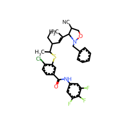 C/C(=C\C(CC(C)C)C(C)Sc1cc(C(=O)Nc2cc(F)c(F)c(F)c2)ccc1Cl)C1C(C#N)CON1Cc1ccccc1